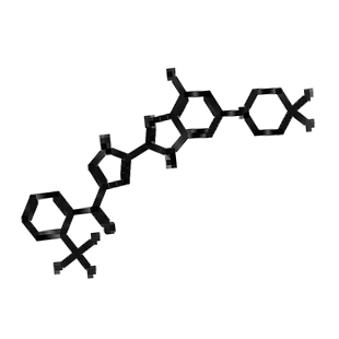 O=C(c1c[nH]c(-c2nc3c(F)cc(N4CCC(F)(F)CC4)cc3[nH]2)c1)c1ccccc1C(F)(F)F